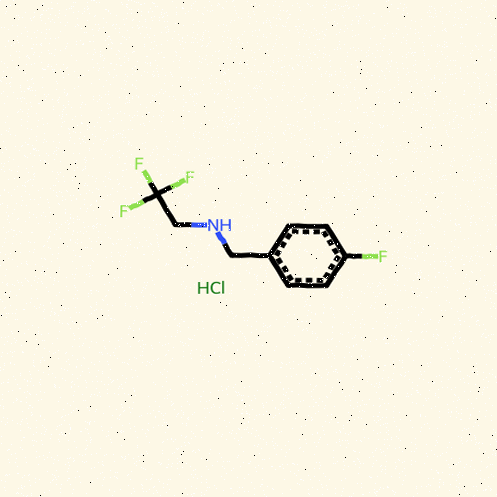 Cl.Fc1ccc(CNCC(F)(F)F)cc1